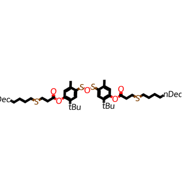 CCCCCCCCCCCCCCSCCC(=O)Oc1cc(C)c(SOSc2cc(C(C)(C)C)c(OC(=O)CCSCCCCCCCCCCCCCC)cc2C)cc1C(C)(C)C